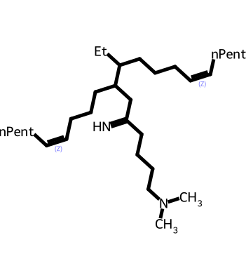 CCCCC/C=C\CCCC(CC)C(CCC/C=C\CCCCC)CC(=N)CCCCN(C)C